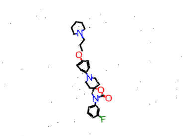 O=C1OC2(CCN(c3ccc(OCCCN4CCCCC4)cc3)CC2)CN1c1cccc(F)c1